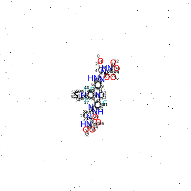 COC[C@H]1C[C@@H](c2nc3cc([C@@H]4CC[C@@H](c5cc6nc([C@@H]7CCCN7C(=O)[C@@H](NC(=O)OC)[C@@H](C)OC)[nH]c6cc5F)N4c4cc(F)c(N5CC[Si](C)(C)CC5)c(F)c4)c(F)cc3[nH]2)N(C(=O)[C@@H](NC(=O)OC)[C@@H](C)OC)C1